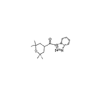 CC1(C)CC(C(=O)n2nnc3ccccc32)CC(C)(C)O1